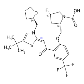 CC(C)(C)c1cn(C[C@H]2CCCO2)/c(=N/C(=O)c2cc(C(F)(F)F)ccc2OC[C@@H]2C[C@H](F)CN2C(=O)O)s1